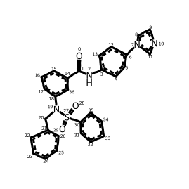 O=C(Nc1ccc(-n2ccnc2)cc1)c1cccc(N(Cc2ccccc2)S(=O)(=O)c2ccccc2)c1